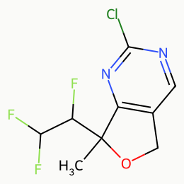 CC1(C(F)C(F)F)OCc2cnc(Cl)nc21